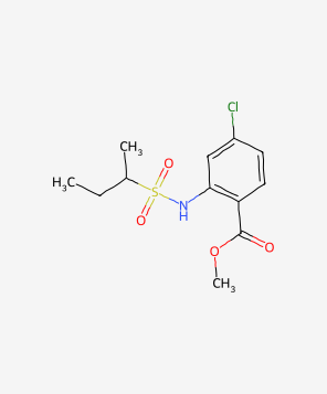 CCC(C)S(=O)(=O)Nc1cc(Cl)ccc1C(=O)OC